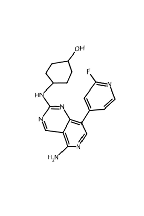 Nc1ncc(-c2ccnc(F)c2)c2nc(NC3CCC(O)CC3)ncc12